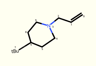 C=CCN1CCC(C(C)(C)C)CC1